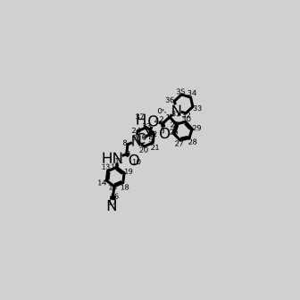 C[C@@](C(=O)O[C@H]1C[N+]2(CC(=O)Nc3ccc(C#N)cc3)CCC1CC2)(c1ccccc1)N1CCCCC1